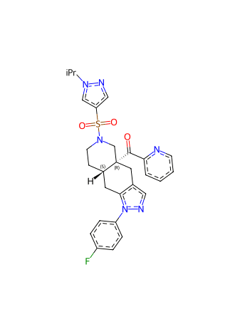 CC(C)n1cc(S(=O)(=O)N2CC[C@H]3Cc4c(cnn4-c4ccc(F)cc4)C[C@]3(C(=O)c3ccccn3)C2)cn1